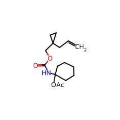 C=CCC1(COC(=O)NC2(OC(C)=O)CCCCC2)CC1